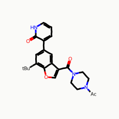 CC(=O)N1CCN(C(=O)c2coc3c(C(C)(C)C)cc(-c4ccc[nH]c4=O)cc23)CC1